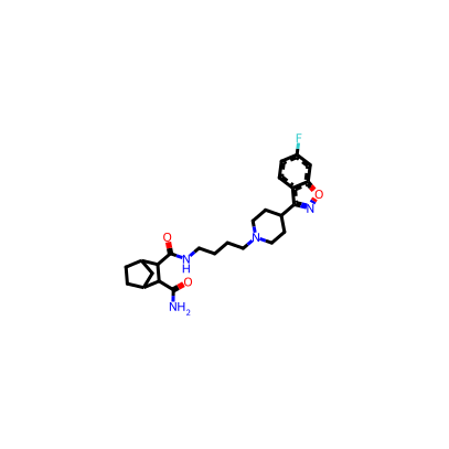 NC(=O)C1C2CCC(C2)C1C(=O)NCCCCN1CCC(c2noc3cc(F)ccc23)CC1